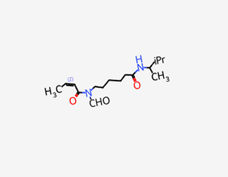 C/C=C\C(=O)N(C=O)CCCCCC(=O)NC(C)C(C)C